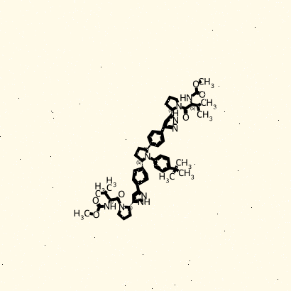 COC(=O)N[C@H](C(=O)N1CCC[C@H]1c1cc(-c2ccc([C@@H]3CC[C@@H](c4ccc(-c5cc([C@@H]6CCCN6C(=O)[C@@H](NC(=O)OC)C(C)C)[nH]n5)cc4)N3c3ccc(C(C)(C)C)cc3)cc2)n[nH]1)C(C)C